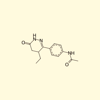 CCC1CC(=O)NN=C1c1ccc(NC(C)=O)cc1